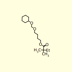 CCC(C)(C)C(=O)OCCCCOCOC1CCCCC1